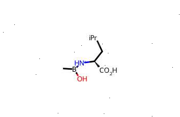 CB(O)N[C@@H](CC(C)C)C(=O)O